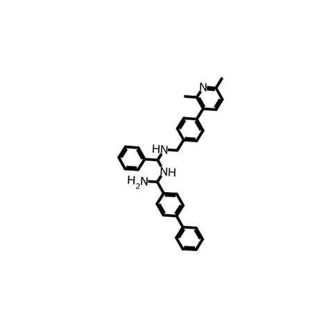 Cc1ccc(-c2ccc(CNC(NC(N)c3ccc(-c4ccccc4)cc3)c3ccccc3)cc2)c(C)n1